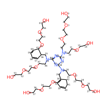 OCCOCCOCCN(CCOCCO)c1nc(N(CCOCCOCCO)CC2=C(OCCOCCO)C=CCC2)nc(N(CCOCCOCCO)CC2C=CC=CC2OCCOCCO)n1